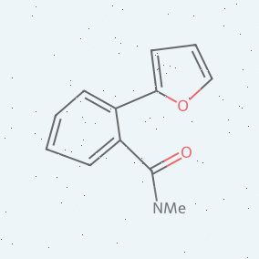 CNC(=O)c1ccccc1-c1ccco1